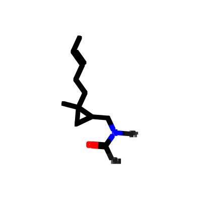 C/C=C/CCC1(C)CC1CN(C(=O)C(C)CC)C(C)C